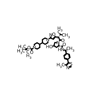 Cc1ncsc1-c1ccc([C@H](C)NC(=O)[C@@H]2C[C@@H](O)CN2C(=O)[C@H](c2cc(N3CCC(C4CCN(C(=O)OC(C)(C)C)CC4)CC3)no2)C(C)C)cc1